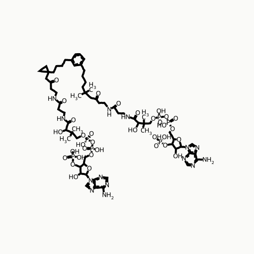 CC(C)(CCCCc1cccc(CCCCC2(CC(=O)CCNC(=O)CCNC(=O)C(O)C(C)(C)COP(=O)(O)OP(=O)(O)OCC3OC(n4cnc5c(N)ncnc54)C(O)C3OP(=O)(O)O)CC2)c1)CC(=O)CCNC(=O)CCNC(=O)C(O)C(C)(C)COP(=O)(O)OP(=O)(O)OCC1OC(n2cnc3c(N)ncnc32)C(O)C1OP(=O)(O)O